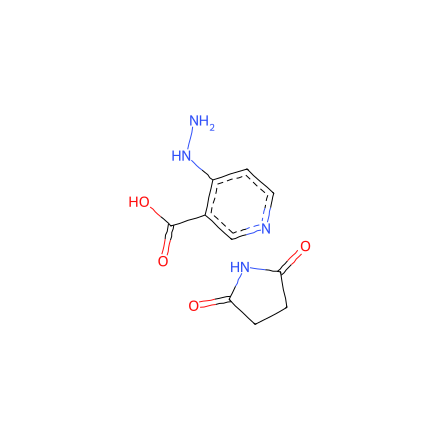 NNc1ccncc1C(=O)O.O=C1CCC(=O)N1